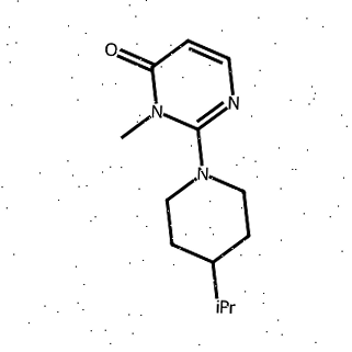 CC(C)C1CCN(c2nccc(=O)n2C)CC1